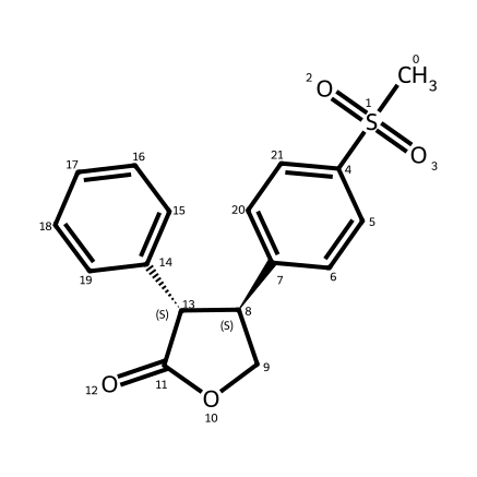 CS(=O)(=O)c1ccc([C@H]2COC(=O)[C@@H]2c2ccccc2)cc1